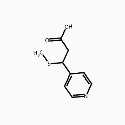 CSC(CC(=O)O)c1ccncc1